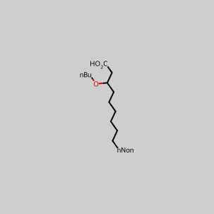 CCCCCCCCCCCCCCCC(CC(=O)O)OCCCC